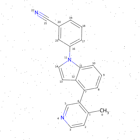 Cc1ccncc1-c1cccc2c1ccn2-c1cccc(C#N)c1